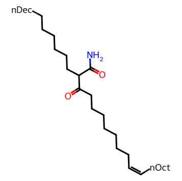 CCCCCCCC/C=C\CCCCCCCC(=O)C(CCCCCCCCCCCCCCCC)C(N)=O